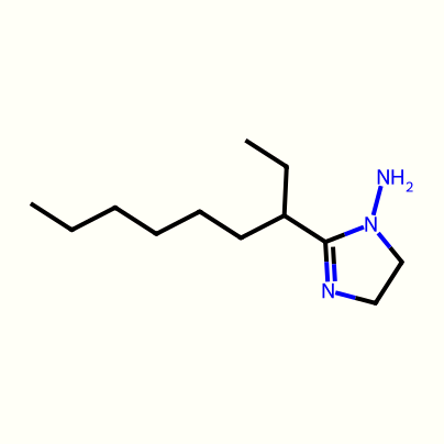 CCCCCCC(CC)C1=NCCN1N